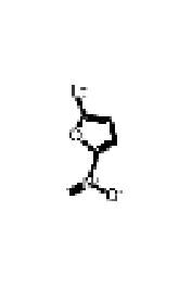 C=[N+]([O-])c1ccc(CC)o1